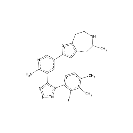 Cc1ccc(-n2nnnc2-c2cc(-c3cc4c(s3)CCNC(C)C4)cnc2N)c(F)c1C